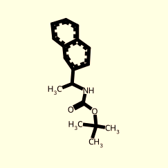 CC(NC(=O)OC(C)(C)C)c1ccc2ccccc2c1